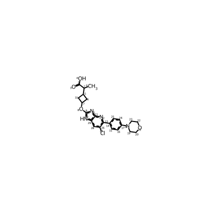 CC(C(=O)O)C1CC(Oc2nc3nc(-c4ccc(N5CCOCC5)cc4)c(Cl)cc3[nH]2)C1